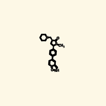 CN1C(=O)[C@H](CN2CCCCC2)C[C@@H]1c1ccc(C2=CC3=CNON3C=C2)cc1